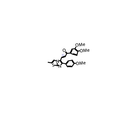 COc1ccc(-c2nc3sc(C)cn3c2/C=C/C(=O)c2ccc(OC)c(OC)c2)cc1